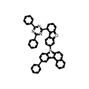 c1ccc(-c2ccc3c(c2)c2c4ccccc4ccc2n3-c2ccc3c(c2)oc2cccc(-c4nc(-c5ccccc5)nc(-c5ccccc5)n4)c23)cc1